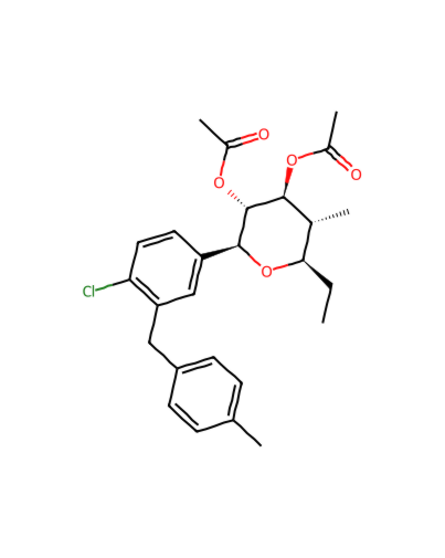 CC[C@H]1O[C@@H](c2ccc(Cl)c(Cc3ccc(C)cc3)c2)[C@H](OC(C)=O)[C@@H](OC(C)=O)[C@@H]1C